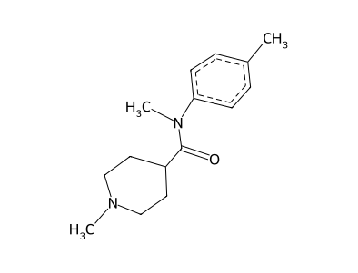 Cc1ccc(N(C)C(=O)C2CCN(C)CC2)cc1